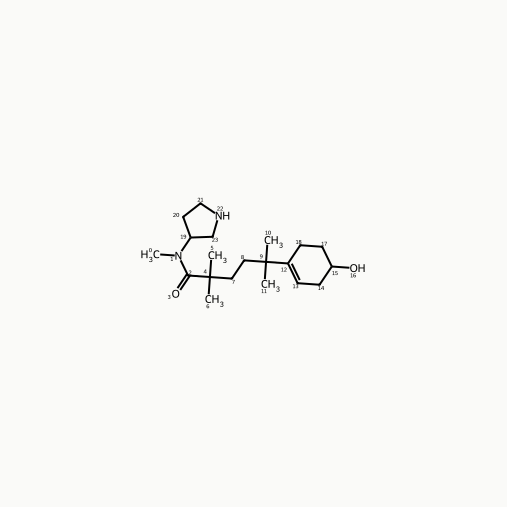 CN(C(=O)C(C)(C)CCC(C)(C)C1=CCC(O)CC1)C1CCNC1